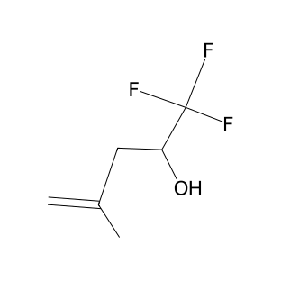 C=C(C)CC(O)C(F)(F)F